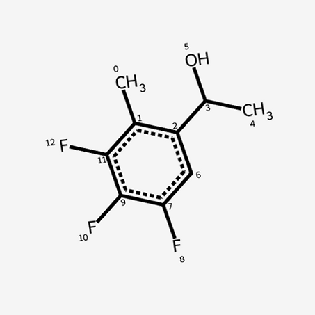 Cc1c(C(C)O)cc(F)c(F)c1F